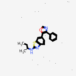 CC[C@@H](C)Nc1nc2ccc(-c3ocnc3-c3ccccc3)cc2s1